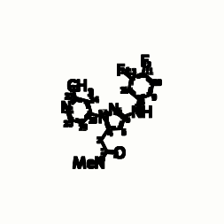 CNC(=O)Cc1cc(Nc2ccc(F)c(F)c2)nn1-c1ccnc(C)c1